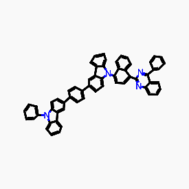 c1ccc(-c2nc(-c3ccc(-n4c5ccccc5c5cc(-c6ccc(-c7ccc8c(c7)c7ccccc7n8-c7ccccc7)cc6)ccc54)c4ccccc34)nc3ccccc23)cc1